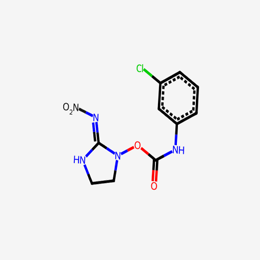 O=C(Nc1cccc(Cl)c1)ON1CCNC1=N[N+](=O)[O-]